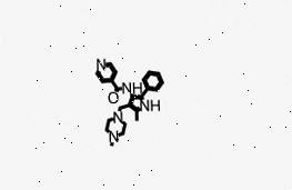 Cc1[nH]c(-c2ccccc2)c(NC(=O)c2ccncc2)c1CN1CCN(C)CC1